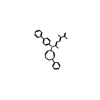 C=C(C)/C(C)=C/C=C(\C)N(c1ccc(-c2ccccc2)cc1)C1C=CCCC(c2ccccc2)/C=C\1